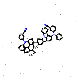 CCC1Cc2c(-c3cc4c(cc3C)c3ccc(N(c5ccccc5)c5cccc(C#N)c5)c5c6ccccc6n4c35)ccc(N(c3ccccc3)c3cccc(C#N)c3)c2C2C=CC=CC12